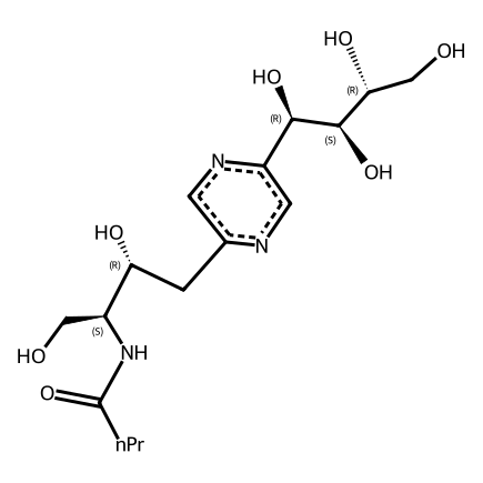 CCCC(=O)N[C@@H](CO)[C@H](O)Cc1cnc([C@@H](O)[C@H](O)[C@H](O)CO)cn1